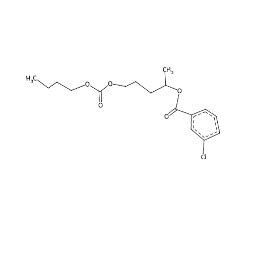 CCCCOC(=O)OCCCC(C)OC(=O)c1cccc(Cl)c1